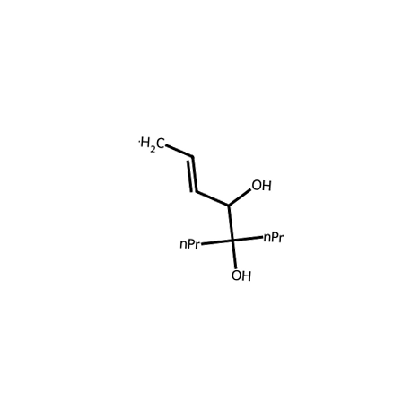 [CH2]C=CC(O)C(O)(CCC)CCC